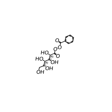 O=C(OOC(=O)[C@H](O)[C@@H](O)[C@H](O)[C@H](O)CO)c1ccccc1